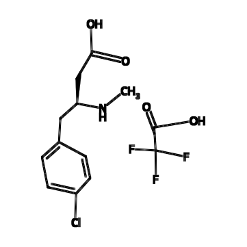 CN[C@H](CC(=O)O)Cc1ccc(Cl)cc1.O=C(O)C(F)(F)F